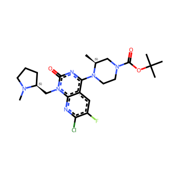 C[C@H]1CN(C(=O)OC(C)(C)C)CCN1c1nc(=O)n(C[C@@H]2CCCN2C)c2nc(Cl)c(F)cc12